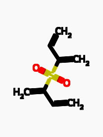 C=CC(=C)S(=O)(=O)C(=C)C=C